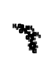 COC(=O)[C@@H](N)CCC(=O)N(C)CCc1ccc(Cl)cc1